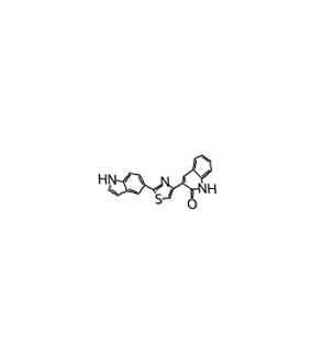 O=c1[nH]c2ccccc2cc1-c1csc(-c2ccc3[nH]ccc3c2)n1